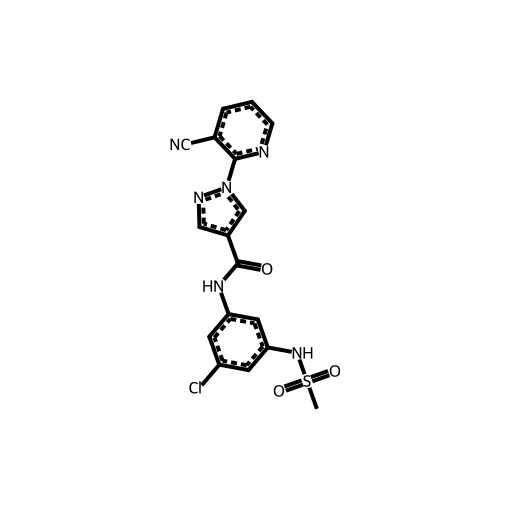 CS(=O)(=O)Nc1cc(Cl)cc(NC(=O)c2cnn(-c3ncccc3C#N)c2)c1